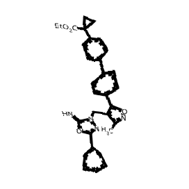 CCOC(=O)C1(c2ccc(-c3ccc(-c4onc(C)c4Cn4nc(-c5ccccc5)oc4=N)cc3)cc2)CC1